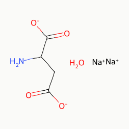 NC(CC(=O)[O-])C(=O)[O-].O.[Na+].[Na+]